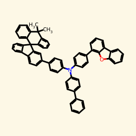 CC1(C)c2ccccc2C2(c3ccccc3-c3ccc(-c4ccc(N(c5ccc(-c6ccccc6)cc5)c5ccc(-c6cccc7c6oc6ccccc67)cc5)cc4)cc32)c2ccccc21